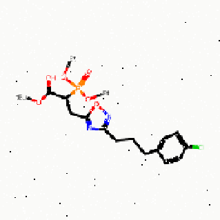 CCOP(=O)(OCC)C(Cc1nc(CCCc2ccc(Cl)cc2)no1)C(O)OC(C)(C)C